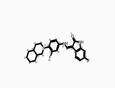 O=C1Nc2cc(F)ccc2C1=CNc1ccc(N2CCC3CCCCC3C2)c(F)c1